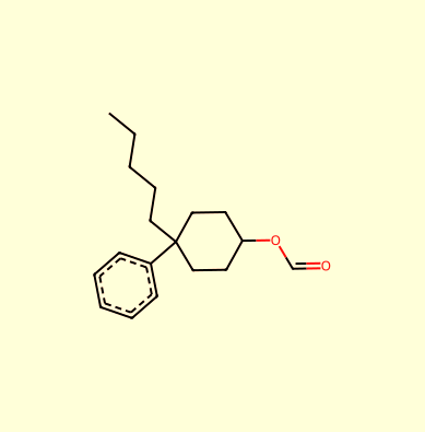 CCCCCC1(c2ccccc2)CCC(OC=O)CC1